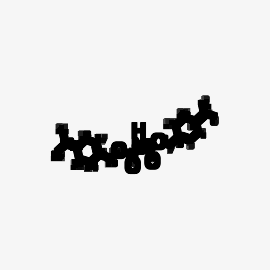 CC(C)=C1CC=C(COC(=O)NC(=O)OCC2=CCC(=C(C)C)CC2)CC1